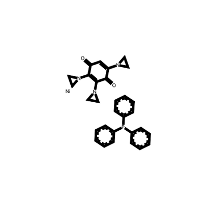 O=C1C=C(N2CC2)C(=O)C(N2CC2)=C1N1CC1.[Ni].c1ccc(P(c2ccccc2)c2ccccc2)cc1